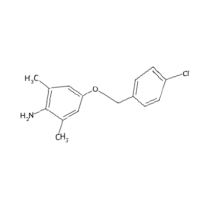 Cc1cc(OCc2ccc(Cl)cc2)cc(C)c1N